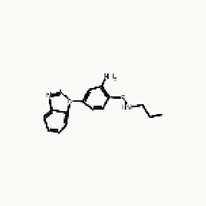 CCCNSc1ccc(-n2nnc3ccccc32)cc1N